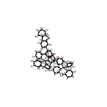 c1ccc2c(c1)Oc1ccccc1C21c2ccccc2-c2ccc(N(c3ccc(-c4ccc5c(c4)sc4ccccc45)cc3)c3cccc4c3C3(c5ccccc5Oc5ccccc53)c3ccccc3-4)cc21